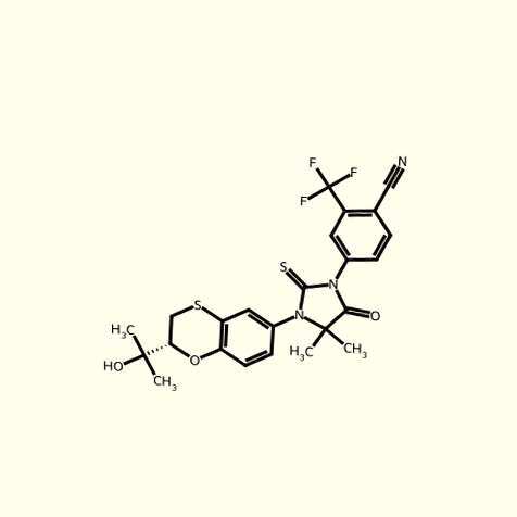 CC(C)(O)[C@@H]1CSc2cc(N3C(=S)N(c4ccc(C#N)c(C(F)(F)F)c4)C(=O)C3(C)C)ccc2O1